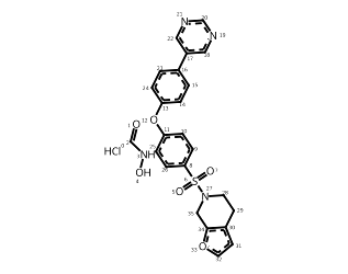 Cl.O=CNO.O=S(=O)(c1ccc(Oc2ccc(-c3cncnc3)cc2)cc1)N1CCc2ccoc2C1